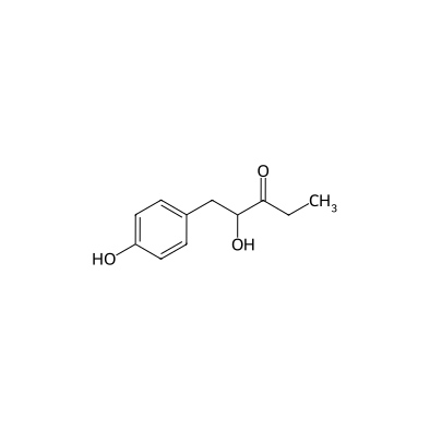 CCC(=O)C(O)Cc1ccc(O)cc1